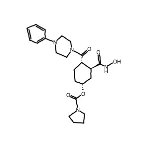 O=C(NO)[C@H]1C[C@H](OC(=O)N2CCCC2)CC[C@@H]1C(=O)N1CCN(c2ccccc2)CC1